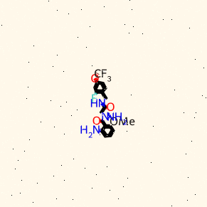 COc1cccc(N)c1C(=O)N(N)CC(=O)NCc1ccc(OC(F)(F)F)cc1F